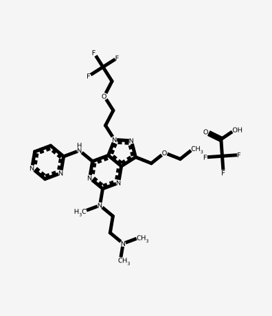 CCOCc1nn(CCOCC(F)(F)F)c2c(Nc3ccncn3)nc(N(C)CCN(C)C)nc12.O=C(O)C(F)(F)F